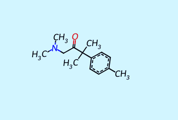 Cc1ccc(C(C)(C)C(=O)CN(C)C)cc1